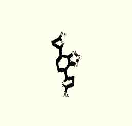 CC(=O)c1ccc(-c2ccc(-c3ccc(C(C)=O)s3)c3nsnc23)s1